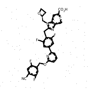 N#Cc1cc(F)c(COc2cccc(-c3cc(F)c(Cc4nc5ccc(C(=O)O)cc5n4C[C@@H]4CCO4)c(F)c3)n2)cc1F